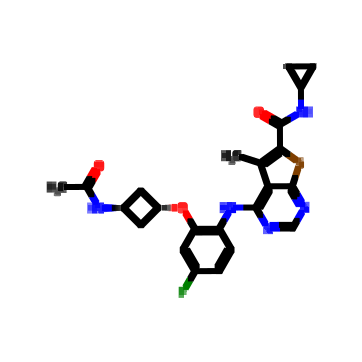 CC(=O)N[C@H]1C[C@H](Oc2cc(F)ccc2Nc2ncnc3sc(C(=O)NC4[CH]C4)c(C)c23)C1